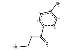 N#CCCC(=O)c1ccc(S)cc1